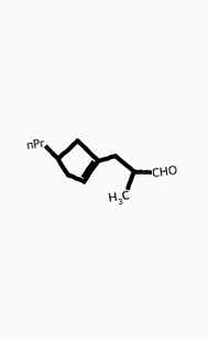 CCCC1CC=C(CC(C)C=O)C1